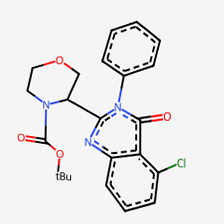 CC(C)(C)OC(=O)N1CCOCC1c1nc2cccc(Cl)c2c(=O)n1-c1ccccc1